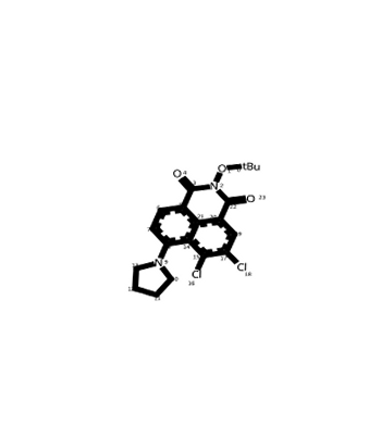 CC(C)(C)ON1C(=O)c2ccc(N3CCCC3)c3c(Cl)c(Cl)cc(c23)C1=O